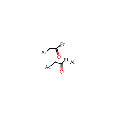 CCC(=O)CC(C)=O.CCC(=O)CC(C)=O.[Al]